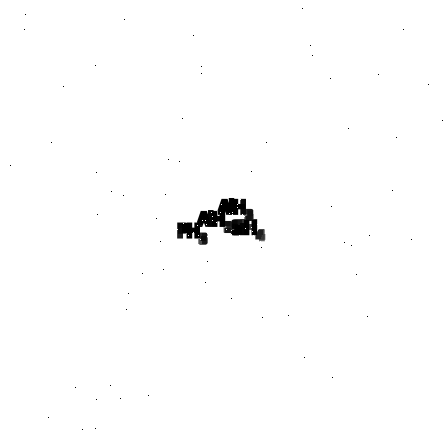 P.[AlH3].[AlH3].[SiH4]